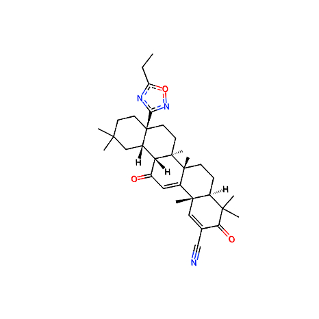 CCc1nc([C@]23CCC(C)(C)C[C@H]2[C@H]2C(=O)C=C4[C@@]5(C)C=C(C#N)C(=O)C(C)(C)[C@@H]5CC[C@@]4(C)[C@]2(C)CC3)no1